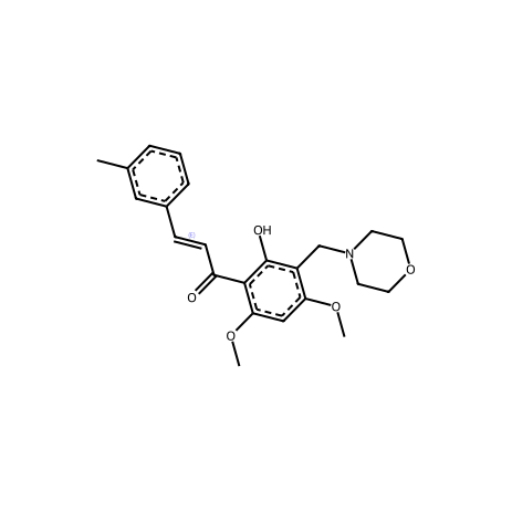 COc1cc(OC)c(C(=O)/C=C/c2cccc(C)c2)c(O)c1CN1CCOCC1